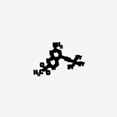 CC(C)[Si](C#Cc1cc(N)nc2nc(S(C)(=O)=O)ncc12)(C(C)C)C(C)C